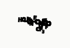 O=C(Nc1c(F)cccc1Cl)c1cc(F)c(-c2cnc(CO)cn2)cc1OCC(F)(F)F